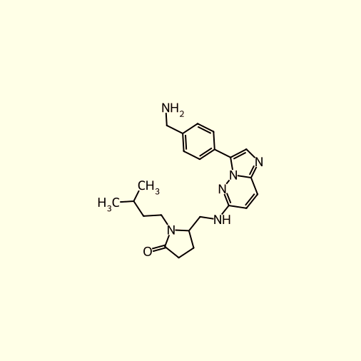 CC(C)CCN1C(=O)CCC1CNc1ccc2ncc(-c3ccc(CN)cc3)n2n1